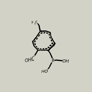 O=Cc1cc(C(F)(F)F)ccc1B(O)O